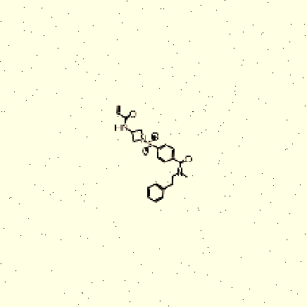 C=CC(=O)NC1CN(S(=O)(=O)c2ccc(C(=O)N(C)CCc3ccccc3)cc2)C1